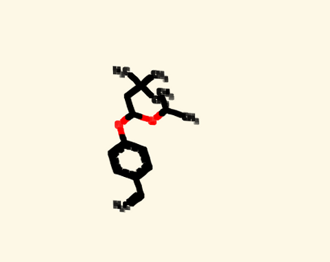 C=Cc1ccc(OC(CC(C)(C)C)OC(C)C)cc1